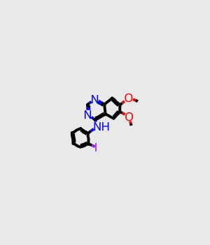 COc1cc2ncnc(Nc3ccccc3I)c2cc1OC